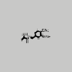 C=C(N)N/N=C/c1ccc(OC(C)=O)c(OC)c1